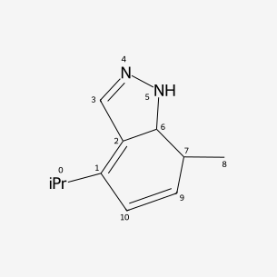 CC(C)C1=C2C=NNC2C(C)C=C1